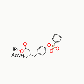 CC(=O)NCC(CC(=O)OC(C)C)Cc1ccc(OS(=O)(=O)c2ccccc2)cc1